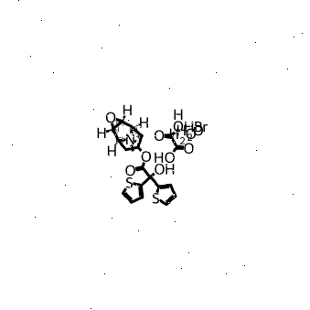 Br.C[N+]1(C)[C@@H]2CC(OC(=O)C(O)(c3cccs3)c3cccs3)C[C@H]1[C@@H]1O[C@@H]12.O.O.O=C(O)C(=O)O